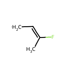 [CH2]/C=C(\C)F